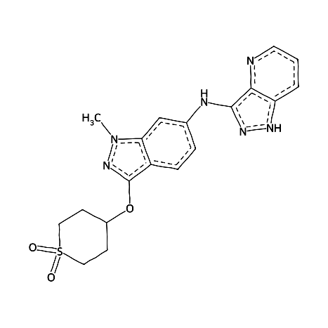 Cn1nc(OC2CCS(=O)(=O)CC2)c2ccc(Nc3n[nH]c4cccnc34)cc21